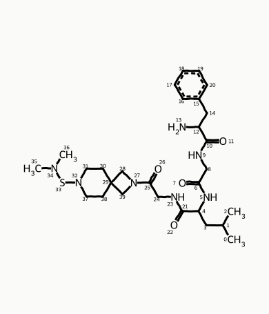 CC(C)CC(NC(=O)CNC(=O)C(N)Cc1ccccc1)C(=O)NCC(=O)N1CC2(CCN(SN(C)C)CC2)C1